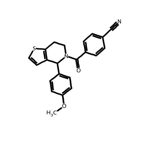 COc1ccc(C2c3ccsc3CCN2C(=O)c2ccc(C#N)cc2)cc1